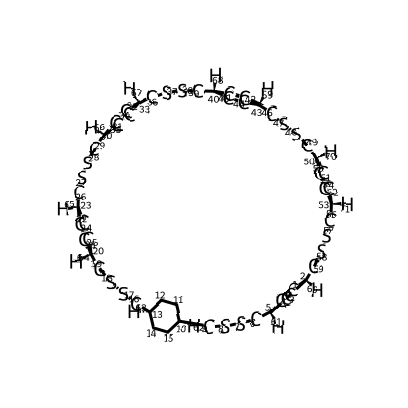 C1C[C@H]2CC[C@@H]1CSSC[C@@H]1CC[C@@H](CC1)CSSC[C@@H]1CC[C@@H](CC1)CSSC[C@@H]1CC[C@@H](CC1)CSSC[C@@H]1CC[C@@H](CC1)CSSC[C@@H]1CC[C@@H](CC1)CSSC2